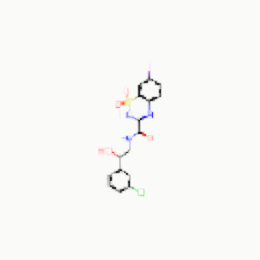 O=C(NCC(O)c1cccc(Cl)c1)C1=Nc2ccc(I)cc2S(=O)(=O)N1